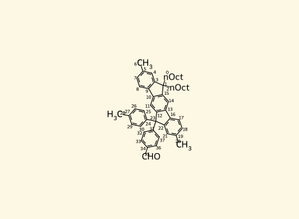 CCCCCCCCC1(CCCCCCCC)c2cc(C)ccc2-c2cc3c(cc21)-c1ccc(C)cc1C3(c1ccc(C)cc1)c1ccc(C=O)cc1